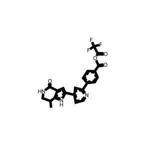 CC1CNC(=O)c2cc(-c3ccnc(-c4ccc(C(=O)OC(=O)C(F)(F)F)cc4)c3)[nH]c21